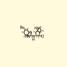 Clc1cc(Nc2nc3cc(Br)ccc3[nH]2)cc2[nH]ccc12